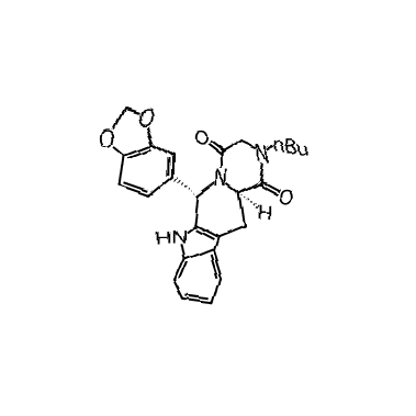 CCCCN1CC(=O)N2[C@@H](c3ccc4c(c3)OCO4)c3[nH]c4ccccc4c3C[C@@H]2C1=O